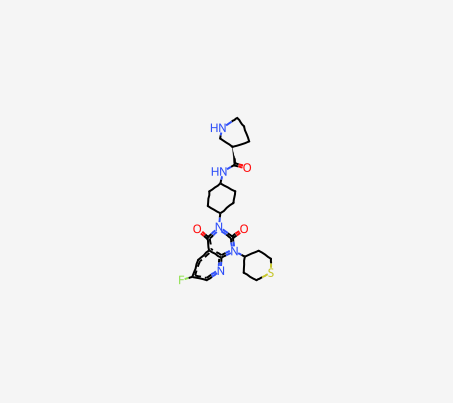 O=C(NC1CCC(n2c(=O)c3cc(F)cnc3n(C3CCSCC3)c2=O)CC1)[C@@H]1CCCNC1